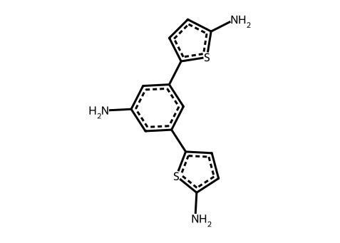 Nc1cc(-c2ccc(N)s2)cc(-c2ccc(N)s2)c1